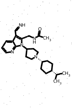 CC(=O)NCc1c(C=N)c2cccnc2n1C1CCN([C@H]2CC[C@@H](C(C)C)CC2)CC1